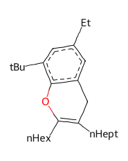 CCCCCCCC1=C(CCCCCC)Oc2c(cc(CC)cc2C(C)(C)C)C1